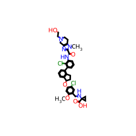 COc1cc(OC2CCc3c(-c4cccc(NC(=O)c5nc6c(n5C)CCN(CCO)C6)c4Cl)cccc32)c(Cl)cc1CNC1(C(=O)O)CC1